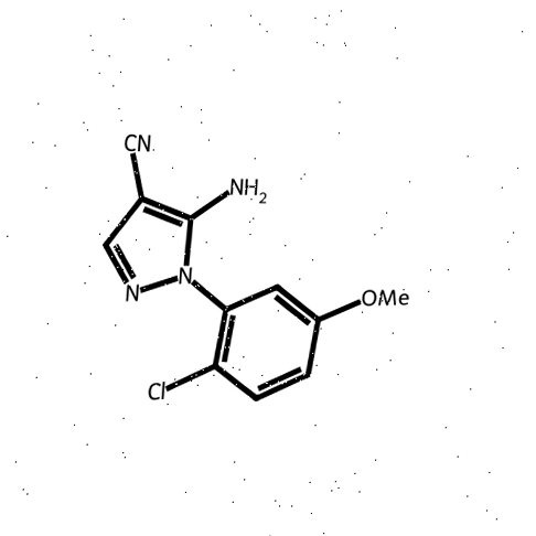 COc1ccc(Cl)c(-n2ncc(C#N)c2N)c1